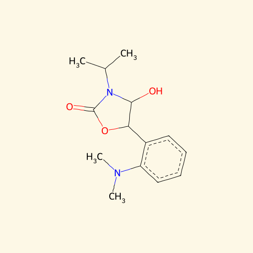 CC(C)N1C(=O)OC(c2ccccc2N(C)C)C1O